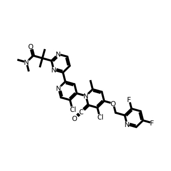 CC1=CC(OCc2ncc(F)cc2F)=C(Cl)C(=C=O)N1c1cc(-c2ccnc(C(C)(C)C(=O)N(C)C)n2)ncc1Cl